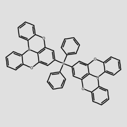 c1ccc([Si](c2ccccc2)(c2cc3c4c(c2)Oc2ccccc2B4c2ccccc2O3)c2cc3c4c(c2)Oc2ccccc2N4c2ccccc2O3)cc1